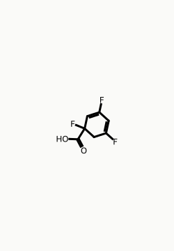 O=C(O)C1(F)C=C(F)C=C(F)C1